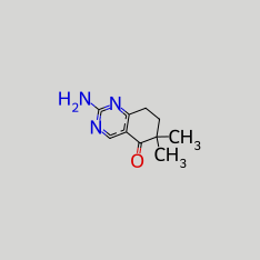 CC1(C)CCc2nc(N)ncc2C1=O